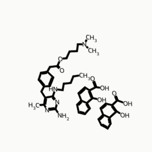 CCCCCNc1nc(N)nc(C)c1Cc1ccc(CC(=O)OCCCCN(C)C)cc1.O=C(O)c1ccc2ccccc2c1O.O=C(O)c1ccc2ccccc2c1O